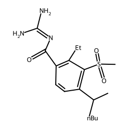 CCCCC(C)c1ccc(C(=O)N=C(N)N)c(CC)c1S(C)(=O)=O